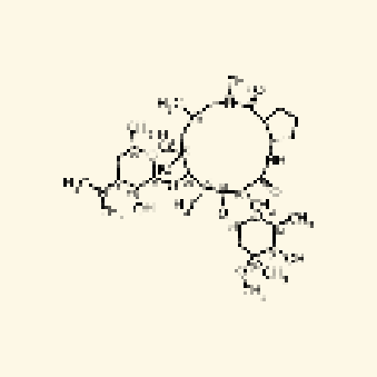 CO[C@]1(C)C[C@H](O[C@H]2[C@H](C)[C@@H](O[C@@H]3O[C@H](C)C[C@H](N(C)C)[C@H]3O)[C@](C)(O)C[C@@H](C)CN(C)C(=O)C3CCCC3NC(=O)[C@@H]2C)O[C@@H](C)[C@@H]1O